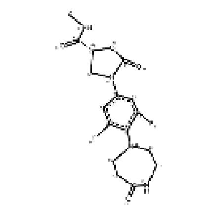 CNC(=O)[C@H]1CN(c2cc(F)c(N3CCNC(=O)CC3)c(F)c2)C(=O)O1